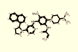 C=CC(=O)Nc1cc(Nc2cc(N3OCCC3c3cccc4ccccc34)ncn2)c(OC)cc1N1CCC(N(C)C)CC1